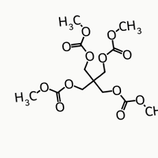 COC(=O)OCC(COC(=O)OC)(COC(=O)OC)COC(=O)OC